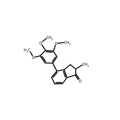 COc1cc(-c2cccc3c2CC(C)C3=O)cc(OC)c1OC